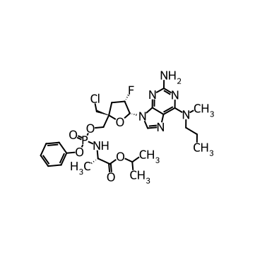 CCCN(C)c1nc(N)nc2c1ncn2[C@@H]1O[C@](CCl)(COP(=O)(N[C@@H](C)C(=O)OC(C)C)Oc2ccccc2)C[C@@H]1F